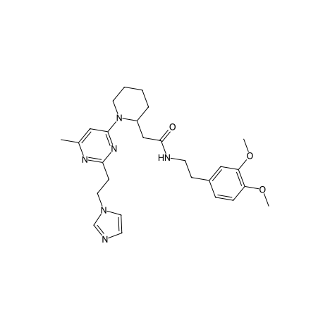 COc1ccc(CCNC(=O)CC2CCCCN2c2cc(C)nc(CCn3ccnc3)n2)cc1OC